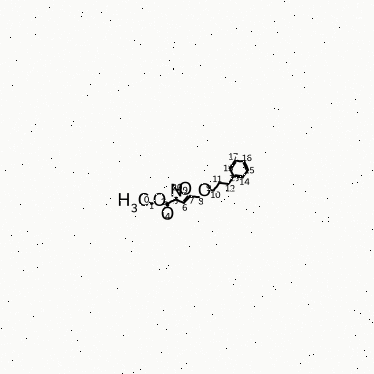 CCOC(=O)c1cc(COCCCc2ccccc2)on1